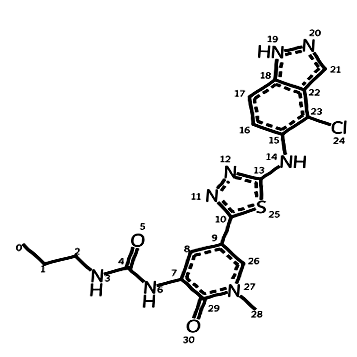 CCCNC(=O)Nc1cc(-c2nnc(Nc3ccc4[nH]ncc4c3Cl)s2)cn(C)c1=O